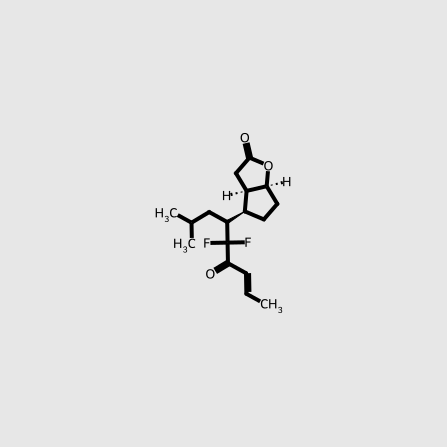 C/C=C/C(=O)C(F)(F)C(CC(C)C)[C@@H]1CC[C@@H]2OC(=O)C[C@@H]21